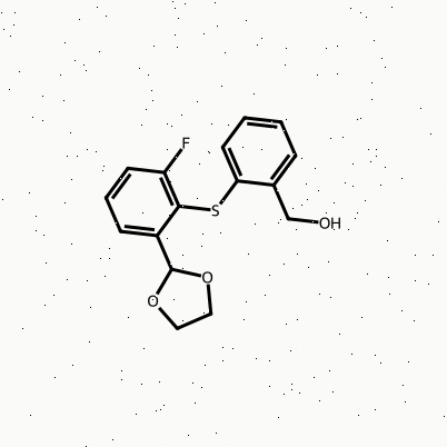 OCc1ccccc1Sc1c(F)cccc1C1OCCO1